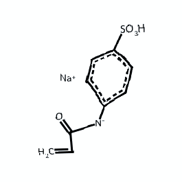 C=CC(=O)[N-]c1ccc(S(=O)(=O)O)cc1.[Na+]